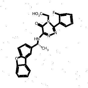 C[C@@H](Nc1nnc(-c2ccccc2F)n(CC(=O)O)c1=O)c1ccc2oc3ccccc3c2c1